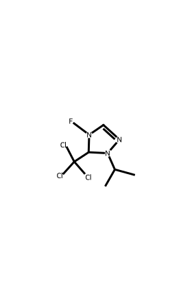 CC(C)N1N=CN(F)C1C(Cl)(Cl)Cl